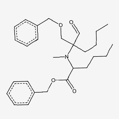 CCCCC(C(=O)OCc1ccccc1)N(C)C(C=O)(CCCC)COCc1ccccc1